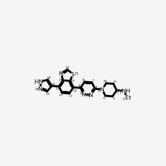 CCNC1CCN(c2ccc(-c3ccc(-c4cn[nH]c4)c4ncsc34)nn2)CC1